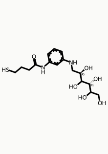 O=C(CCCS)Nc1cccc(NC[C@@H](O)C(O)[C@H](O)C(O)CO)c1